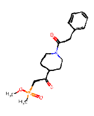 COP(C)(=O)CC(=O)C1CCN(C(=O)Cc2ccccc2)CC1